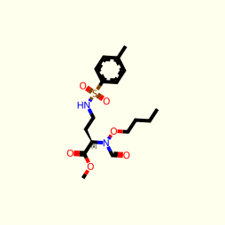 CCCCON(C=O)[C@H](CCNS(=O)(=O)c1ccc(C)cc1)C(=O)OC